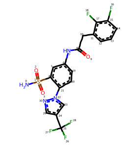 NS(=O)(=O)c1cc(NC(=O)Cc2cccc(F)c2F)ccc1-n1cc(C(F)(F)F)cn1